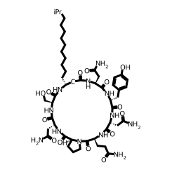 CC(C)CCCCCCCCCC[C@@H]1CC(=O)N[C@@H](CC(N)=O)C(=O)N[C@H](Cc2ccc(O)cc2)C(=O)N[C@H](CC(N)=O)C(=O)N[C@@H](CCC(N)=O)C(=O)N2CCC[C@H]2C(=O)N[C@H](CC(N)=O)C(=O)N[C@@H](CO)C(=O)N1